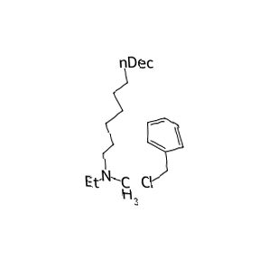 CCCCCCCCCCCCCCCCN(C)CC.ClCc1ccccc1